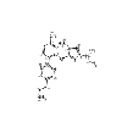 CCN(C)c1cc(Oc2cc(C#N)ccc2-c2ncc(CCN)cn2)n(C)n1